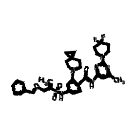 C=C(COCc1ccccc1)S(=O)(=O)Nc1ccc(C(=O)Nc2cc(C)nc(N3CCC(F)(F)CC3)n2)c(N2CCC3(CC2)CC3)c1